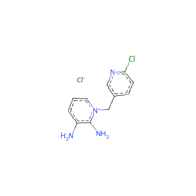 Nc1ccc[n+](Cc2ccc(Cl)nc2)c1N.[Cl-]